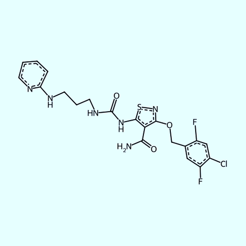 NC(=O)c1c(OCc2cc(F)c(Cl)cc2F)nsc1NC(=O)NCCCNc1ccccn1